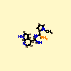 Cn1cccc1/C(P)=N/C(=N)c1ccnc2[nH]ccc12